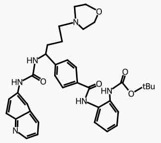 CC(C)(C)OC(=O)Nc1ccccc1NC(=O)c1ccc(C(CCCN2CCOCC2)NC(=O)Nc2ccc3ncccc3c2)cc1